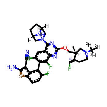 [2H]C([2H])([2H])N1CC/C(=C\F)[C@](C)(COc2nc(N3C[C@H]4CC[C@@H](C3)N4)c3cc(Cl)c(-c4c(F)ccc5sc(N)c(C#N)c45)c(F)c3n2)C1